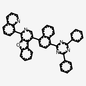 c1ccc(-c2nc(-c3ccccc3)nc(-c3ccc(-c4cnc(-c5cccc6cccnc56)c5oc6ccccc6c45)c4ccccc34)n2)cc1